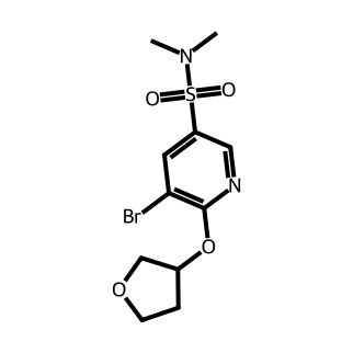 CN(C)S(=O)(=O)c1cnc(OC2CCOC2)c(Br)c1